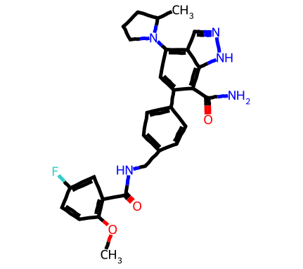 COc1ccc(F)cc1C(=O)NCc1ccc(-c2cc(N3CCCC3C)c3cn[nH]c3c2C(N)=O)cc1